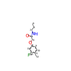 CCCNC(=O)COc1ccc(C)c(F)c1